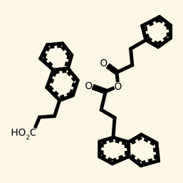 O=C(CCc1ccccc1)OC(=O)CCc1cccc2ccccc12.O=C(O)CCc1ccc2ccccc2c1